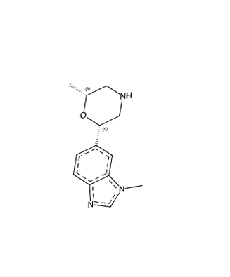 C[C@@H]1CNC[C@H](c2ccc3ncn(C)c3c2)O1